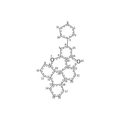 c1ccc(-c2cc3oc4cccc5c6ccccc6c6ccc7oc(c2)c3c7c6c45)cc1